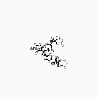 CN(C)S(=O)(=O)c1ccc(Nc2nn(CC(C#N)[C@H]3CC3(C)C)c3cc[nH]c(=O)c23)cc1